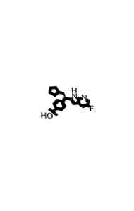 CC(C)(O)c1ccc([C@@H](CC2CCCC2)c2cc3cc(F)cnc3[nH]2)cc1